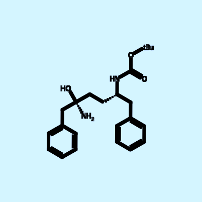 CC(C)(C)OC(=O)N[C@@H](CC[C@](N)(O)Cc1ccccc1)Cc1ccccc1